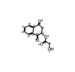 O=C(CO)OC1CC(=O)c2ccccc2C1=O